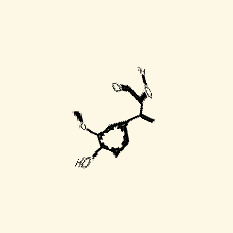 [2H]OC(=O)C(=C)c1ccc(O)c(OC)c1